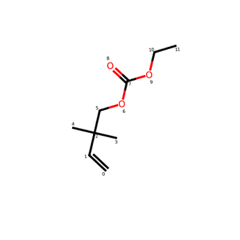 C=CC(C)(C)COC(=O)OCC